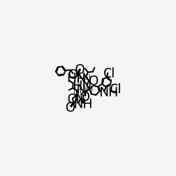 CCC(C)[C@H](NC(=O)OCc1ccccc1)C(=O)N[C@]1(C(=O)N[C@H](c2n[nH]c(=O)o2)C(C)CC)CCc2[nH]c3c(Cl)cc(Cl)cc3c2C1